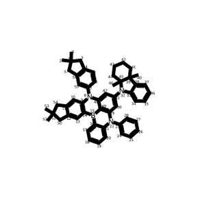 CC1(C)Cc2ccc(N3c4cc5c(cc4B4c6ccccc6N(c6ccccc6)c6cc(N7c8ccccc8C8(C)CCCCC78C)cc3c64)CC(C)(C)C5)cc2C1